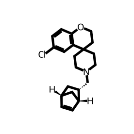 Clc1ccc2c(c1)C1(CCO2)CCN(C[C@H]2C[C@H]3C=C[C@@H]2C3)CC1